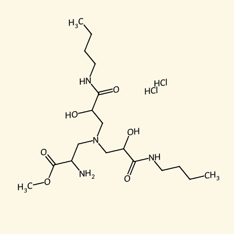 CCCCNC(=O)C(O)CN(CC(N)C(=O)OC)CC(O)C(=O)NCCCC.Cl.Cl